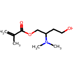 C=C(C)C(=O)OCC(CCO)N(C)C